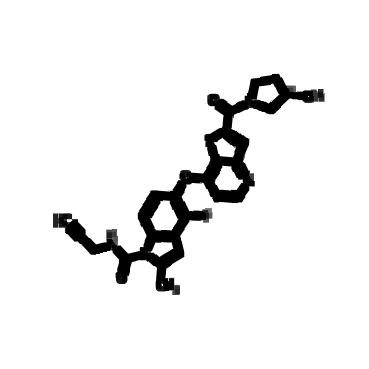 C#CCNC(=O)n1c(C)cc2c(F)c(Oc3ccnc4cc(C(=O)N5CC[C@@H](O)C5)sc34)ccc21